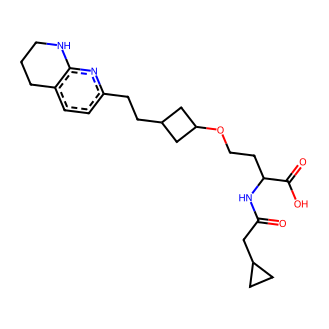 O=C(CC1CC1)NC(CCOC1CC(CCc2ccc3c(n2)NCCC3)C1)C(=O)O